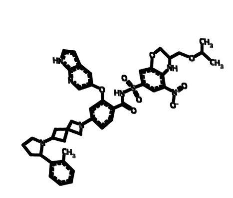 Cc1ccccc1C1CCCN1C1CC2(C1)CN(c1ccc(C(=O)NS(=O)(=O)c3cc4c(c([N+](=O)[O-])c3)NC(COC(C)C)CO4)c(Oc3cnc4[nH]ccc4c3)c1)C2